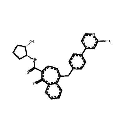 Cc1cc(-c2ccc(Cc3ccc(C(=O)N[C@H]4CCC[C@@H]4O)c(=O)c4ccccc34)cc2)ccn1